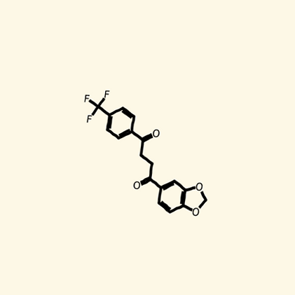 O=C(CCC(=O)c1ccc2c(c1)OCO2)c1ccc(C(F)(F)F)cc1